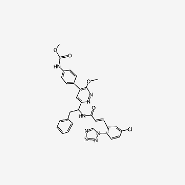 COC(=O)Nc1ccc(-c2cc(C(Cc3ccccc3)NC(=O)C=Cc3cc(Cl)ccc3-n3cnnn3)nnc2OC)cc1